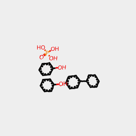 O=P(O)(O)O.Oc1ccccc1.Oc1ccccc1.c1ccc(-c2ccccc2)cc1